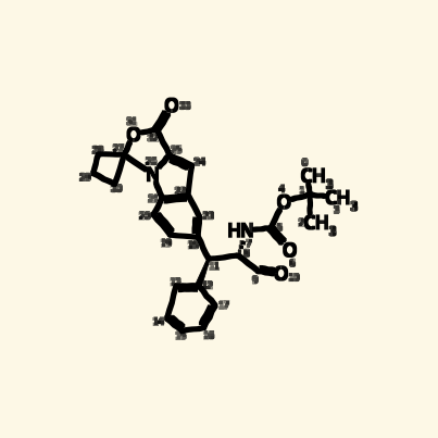 CC(C)(C)OC(=O)N[C@H](C=O)[C@@H](c1ccccc1)c1ccc2c(c1)cc1n2C2(CCC2)OC1=O